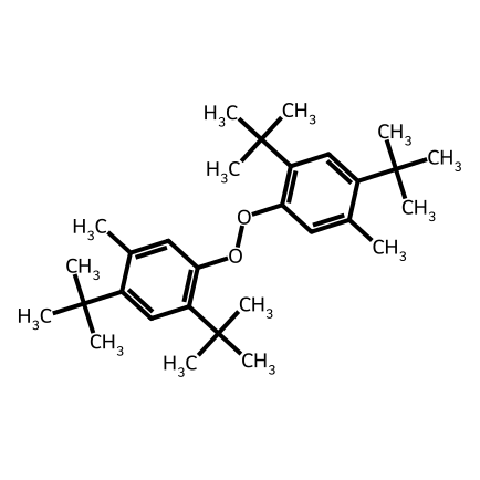 Cc1cc(OOc2cc(C)c(C(C)(C)C)cc2C(C)(C)C)c(C(C)(C)C)cc1C(C)(C)C